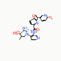 COc1ccc(-c2coc3ccc(C(=O)Nc4cnccc4N4CC(C)C(O)C(N)C4)nc23)cn1